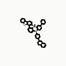 CS1(C)c2ccc3c(oc4ccccc43)c2-c2cccc(N(c3ccc(-c4ccccc4)cc3)c3ccc(-c4ccc5ccccc5c4)cc3)c21